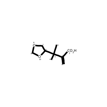 C=C(C(=O)O)C(C)(C)C1COCO1